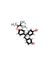 CC(C)[C@H](C)Oc1ccc(C(Cc2ccc(Br)cc2)c2ccc(Br)cc2)cc1